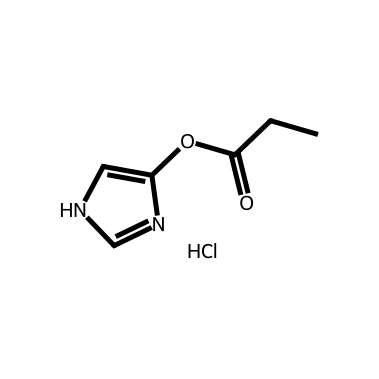 CCC(=O)Oc1c[nH]cn1.Cl